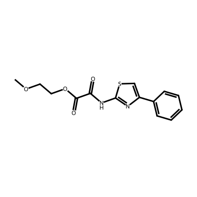 COCCOC(=O)C(=O)Nc1nc(-c2ccccc2)cs1